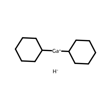 C1CC[CH]([Ga+][CH]2CCCCC2)CC1.[H-]